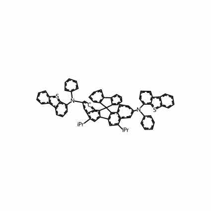 CC(C)c1cc2c(c3ccc(N(c4ccccc4)c4cccc5c4sc4ccccc45)cc13)C1(c3ccccc3-c3ccccc31)c1c-2cc(C(C)C)c2cc(N(c3ccccc3)c3cccc4c3sc3ccccc34)ccc12